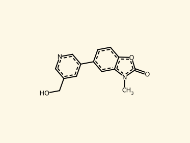 Cn1c(=O)oc2ccc(-c3cncc(CO)c3)cc21